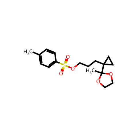 Cc1ccc(S(=O)(=O)OCCCC2(C3(C)OCCO3)CC2)cc1